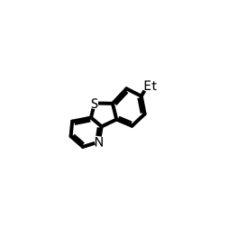 CCc1ccc2c(c1)sc1cccnc12